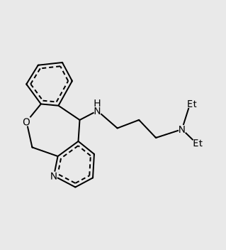 CCN(CC)CCCNC1c2ccccc2OCc2ncccc21